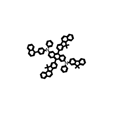 CC1(C)c2ccccc2-c2ccc(N(c3ccccc3)c3ccc4c(-c5ccc6c(c5)C(C)(C)c5c-6ccc6ccccc56)c5cc(N(c6ccccc6)c6ccc(-c7cccc8ccccc78)cc6)ccc5c(-c5ccc6c(c5)C(C)(C)c5c-6ccc6ccccc56)c4c3)cc21